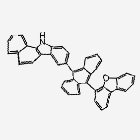 c1ccc2c(c1)ccc1c3cc(-c4c5ccccc5c(-c5cccc6c5oc5ccccc56)c5ccccc45)ccc3[nH]c21